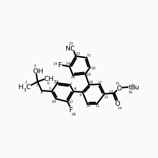 CC(C)(O)Cc1ccc(-c2ccc(C(=O)OC(C)(C)C)cc2-c2ccc(C#N)c(F)c2)c(F)c1